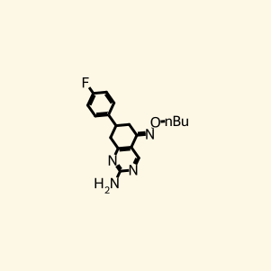 CCCCON=C1CC(c2ccc(F)cc2)Cc2nc(N)ncc21